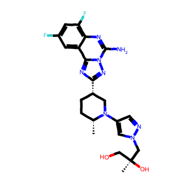 C[C@@H]1CC[C@H](c2nc3c4cc(F)cc(F)c4nc(N)n3n2)CN1c1cnn(C[C@@](C)(O)CO)c1